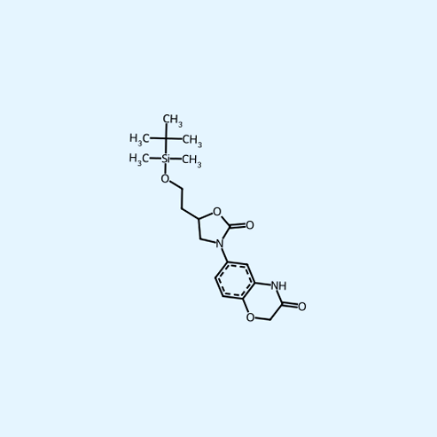 CC(C)(C)[Si](C)(C)OCCC1CN(c2ccc3c(c2)NC(=O)CO3)C(=O)O1